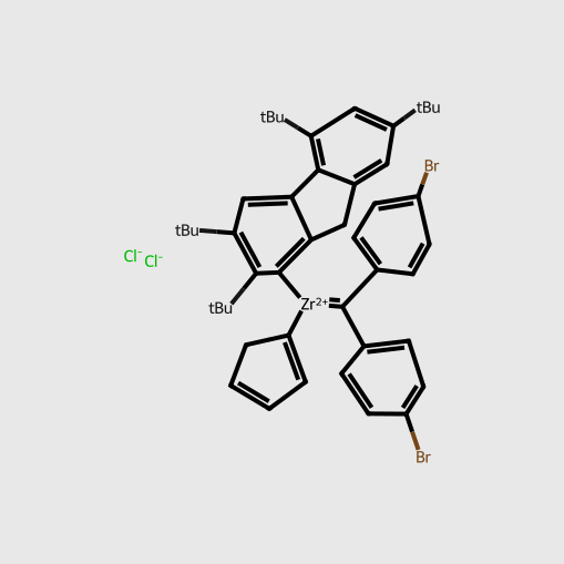 CC(C)(C)c1cc2c(c(C(C)(C)C)c1)-c1cc(C(C)(C)C)c(C(C)(C)C)[c]([Zr+2]([C]3=CC=CC3)=[C](c3ccc(Br)cc3)c3ccc(Br)cc3)c1C2.[Cl-].[Cl-]